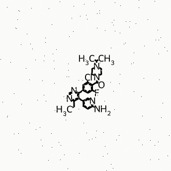 CCc1ncnc(-c2cc(F)c(C(=O)N3CCN(C(C)C)CC3)c(Cl)c2)c1-c1ccc(N)nc1